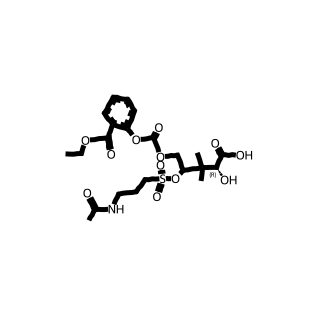 CCOC(=O)c1ccccc1OC(=O)OCC(OS(=O)(=O)CCCNC(C)=O)C(C)(C)[C@@H](O)C(=O)O